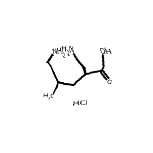 CC(CN)CC(N)C(=O)O.Cl